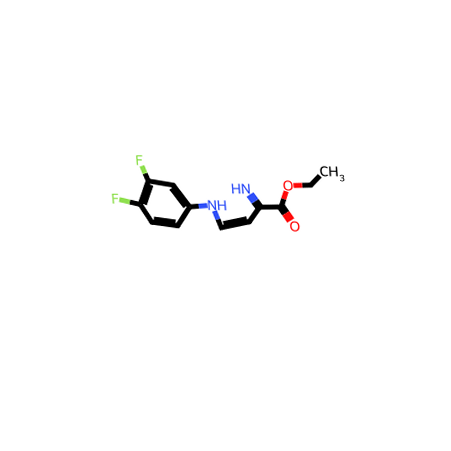 CCOC(=O)C(=N)/C=C\Nc1ccc(F)c(F)c1